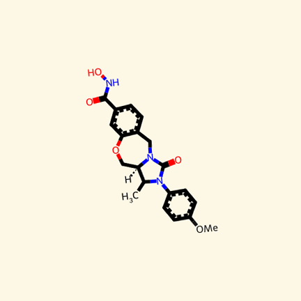 COc1ccc(N2C(=O)N3Cc4ccc(C(=O)NO)cc4OC[C@@H]3C2C)cc1